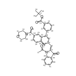 CC(=O)N1/C(=C\c2cc(-c3cccc(C(=O)OC(C)(C)C)c3)c3cc(C(=O)N4CCOCC4)ccc3n2)C(=O)c2ccccc21